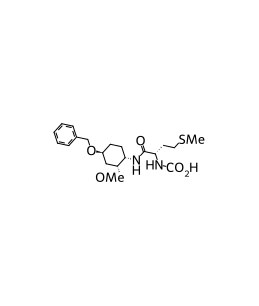 CO[C@@H]1C[C@@H](OCc2ccccc2)CC[C@@H]1NC(=O)[C@H](CCSC)NC(=O)O